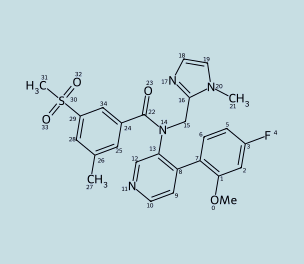 COc1cc(F)ccc1-c1ccncc1N(Cc1nccn1C)C(=O)c1cc(C)cc(S(C)(=O)=O)c1